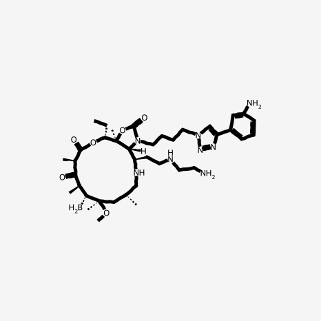 B[C@@H]1[C@@H](C)C(=O)[C@@H](C)C(=O)O[C@H](CC)[C@@]2(C)OC(=O)N(CCCCn3cc(-c4cccc(N)c4)nn3)[C@@H]2[C@@H](CCNCCN)NC[C@H](C)C[C@@]1(C)OC